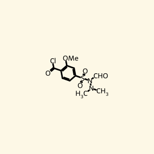 COc1cc(S(=O)(=O)N(C=O)N(C)C)ccc1C(=O)Cl